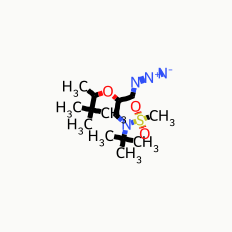 CC(OC(CN=[N+]=[N-])CN(C(C)(C)C)S(C)(=O)=O)C(C)(C)C